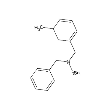 CC1C=CC=C(CN(Cc2ccccc2)C(C)(C)C)C1